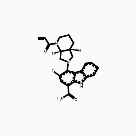 C=CC(=O)N1CCC[C@@H]2CN(c3c(F)cc(C(N)=O)c4[nH]c5ccccc5c34)C[C@@H]21